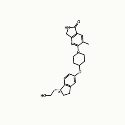 Cc1cc2c(nc1N1CCC(Oc3ccc4c(c3)CC[C@@H]4CCO)CC1)CNC2=O